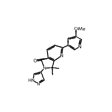 COc1cncc(-c2ccc3c(n2)C(C)(C)N(c2cn[nH]c2)C3=O)c1